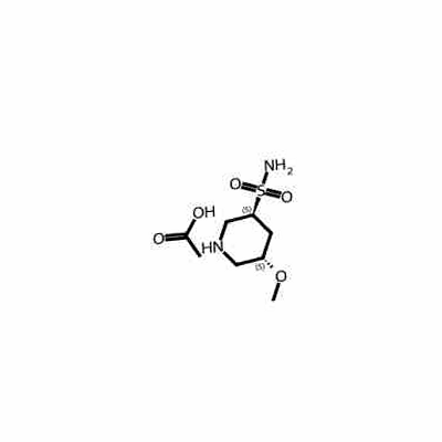 CC(=O)O.CO[C@@H]1CNC[C@@H](S(N)(=O)=O)C1